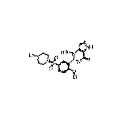 CCCCN1c2cn[nH]c2C(=S)[N]C1c1cc(S(=O)(=O)N2CCN(CC)CC2)ccc1OCC